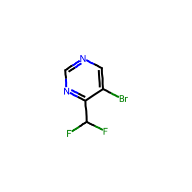 FC(F)c1ncncc1Br